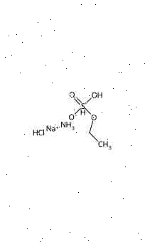 CCO[SH](=O)([O-])O.Cl.N.[Na+]